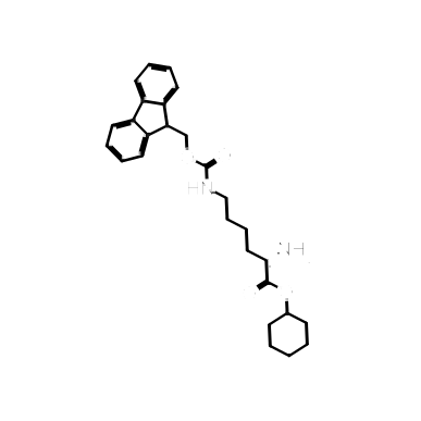 N[C@@H](CCCCNC(=O)OCC1c2ccccc2-c2ccccc21)C(=O)OC1CCCCC1